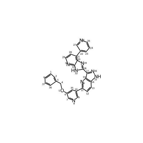 c1ccc(COc2cncc(-c3ccc4[nH]nc(-c5nc6c(-c7cccnc7)ccnc6[nH]5)c4n3)c2)cc1